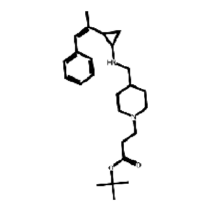 CC(=Cc1ccccc1)C1CC1NCC1CCN(CCC(=O)OC(C)(C)C)CC1